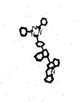 c1ccc(-c2nc(-c3ccccc3)nc(-c3ccc(-c4ccc(-c5cc6cc7ccccc7nc6c6ccccc56)c5ccccc45)cc3)n2)cc1